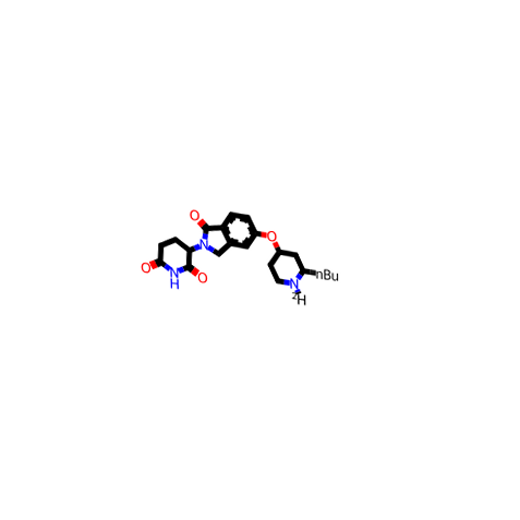 [2H]N1CCC(Oc2ccc3c(c2)CN(C2CCC(=O)NC2=O)C3=O)CC1CCCC